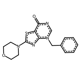 O=c1ncn(Cc2ccccc2)c2nc(N3CCOCC3)sc12